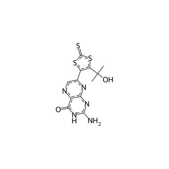 CC(C)(O)c1sc(=S)sc1-c1cnc2c(=O)[nH]c(N)nc2n1